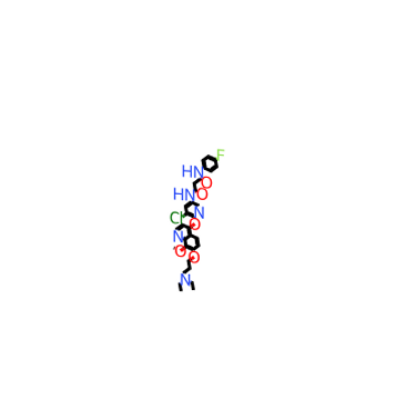 CCN(CC)CCCOc1ccc2c(Oc3ncc(NC(=O)CC(=O)Nc4ccc(F)cc4)cc3Cl)ccnc2c1OC